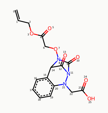 C=CCOC(=O)CON1C(=O)N2C(=O)C1c1ccccc1N2CC(=O)O